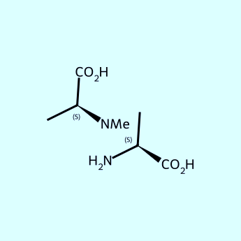 CN[C@@H](C)C(=O)O.C[C@H](N)C(=O)O